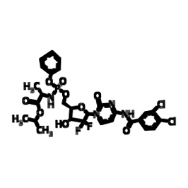 CC(C)OC(=O)[C@@H](C)NP(=O)(OC[C@H]1OC(n2ccc(NC(=O)c3ccc(Cl)c(Cl)c3)nc2=O)C(F)(F)[C@@H]1O)Oc1ccccc1